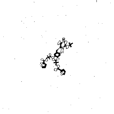 CC(C)(C)OC(=O)N[C@@H](Cc1ccc(OC(=O)C(C)(C)COC(=O)c2cccs2)c(OC(=O)C(C)(C)COC(=O)c2cccs2)c1)C(=O)N=O